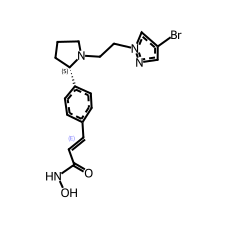 O=C(/C=C/c1ccc([C@@H]2CCCN2CCn2cc(Br)cn2)cc1)NO